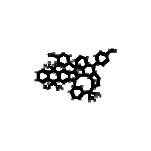 CC(C)(C)c1ccc(N2c3ccc4cc3B3c5c(cccc52)N(C2=CCC(C(C)(C)C)C=C2)c2c3n(c3cc5c(cc23)C(C)(C)c2ccccc2C5(C)C)-c2cccc(c2)C4(C)C)cc1